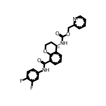 O=C(N[C@H]1CCOc2c(C(=O)Nc3ccc(F)c(F)c3)cccc21)OCc1ccccn1